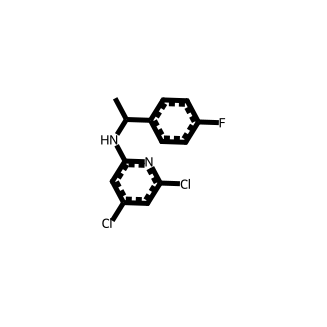 CC(Nc1cc(Cl)cc(Cl)n1)c1ccc(F)cc1